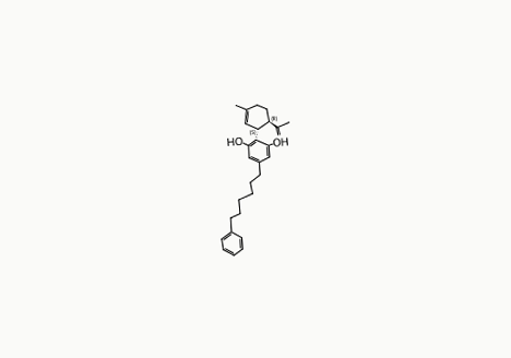 C=C(C)[C@@H]1CCC(C)=C[C@H]1c1c(O)cc(CCCCCCc2ccccc2)cc1O